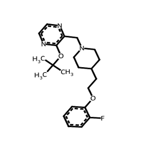 CC(C)(C)Oc1nccnc1CN1CCC(CCOc2ccccc2F)CC1